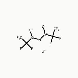 [Li+].[O-][S+]([N-][S+]([O-])C(F)(F)C(F)(F)F)C(F)(F)C(F)(F)F